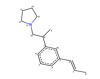 CC=Cc1cccc(C(C)CN2CCCC2)c1